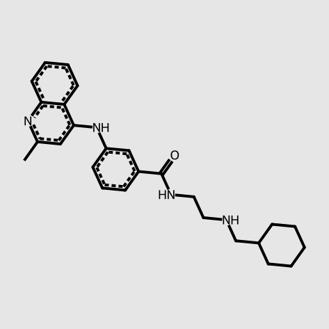 Cc1cc(Nc2cccc(C(=O)NCCNCC3CCCCC3)c2)c2ccccc2n1